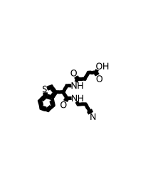 N#CCCNC(=O)C(CNC(=O)CCC(=O)O)c1csc2ccccc12